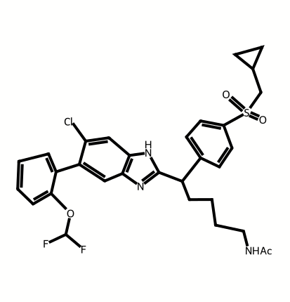 CC(=O)NCCCCC(c1ccc(S(=O)(=O)CC2CC2)cc1)c1nc2cc(-c3ccccc3OC(F)F)c(Cl)cc2[nH]1